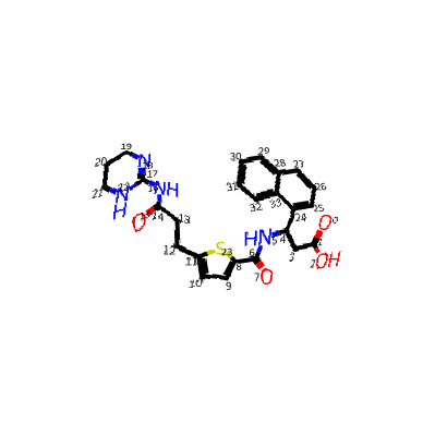 O=C(O)CC(NC(=O)c1ccc(CCC(=O)NC2=NCCCN2)s1)c1cccc2ccccc12